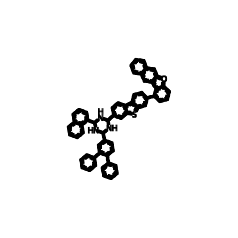 c1ccc(-c2ccc(C3NC(c4ccc5c(c4)sc4cc(-c6cccc7oc8cc9ccccc9cc8c67)ccc45)NC(c4cccc5ccccc45)N3)cc2-c2ccccc2)cc1